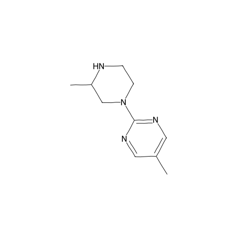 Cc1cnc(N2CCNC(C)C2)nc1